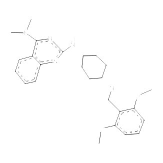 COc1cccc(OC)c1CN[C@H]1CC[C@@H](Nc2nc(N(C)C)c3ccccc3n2)CC1